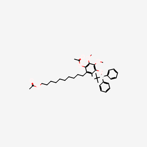 COc1c(O[Si](c2ccccc2)(c2ccccc2)C(C)(C)C)c(C)c(CCCCCCCCCCOC(C)=O)c(OC(C)=O)c1OC